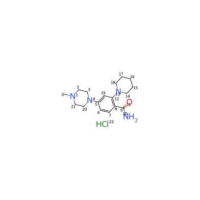 CN1CCN(c2ccc(C(N)=O)c(N3CCCCC3)c2)CC1.Cl